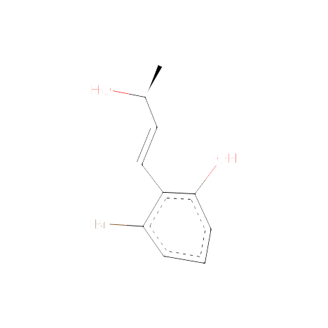 C[C@H](O)C=Cc1c(O)cccc1Br